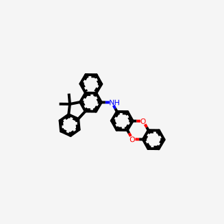 CC1(C)c2ccccc2-c2cc(Nc3ccc4c(c3)Oc3ccccc3O4)c3ccccc3c21